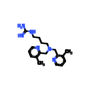 Cc1cccnc1CN(CCCCNC(=N)N)Cc1ncccc1C